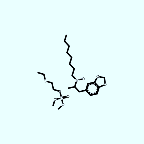 CCCCCCCC[S+]([O-])C(C)Cc1ccc2c(c1)OCO2.CCSCCSP(=O)(OC)OC